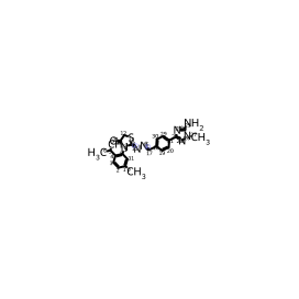 Cc1ccc(C(C)C)c(N2C(=O)CS/C2=N\N=C\c2ccc(-c3nc(N)n(C)n3)cc2)c1